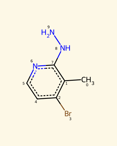 Cc1c(Br)ccnc1NN